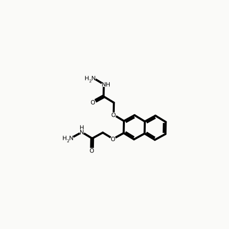 NNC(=O)COc1cc2ccccc2cc1OCC(=O)NN